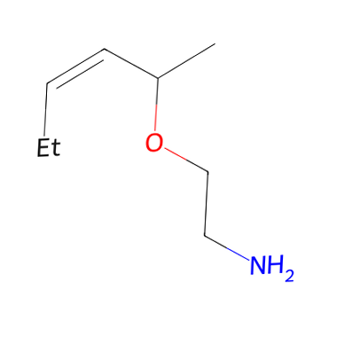 CC/C=C\C(C)OCCN